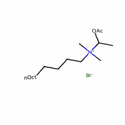 CCCCCCCCCCCC[N+](C)(C)C(C)OC(C)=O.[Br-]